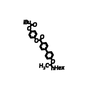 CCCCCCC(C)Oc1ccc(-c2ccc(C(=O)Oc3ccc(OC(=O)C(C)CC)cc3)cc2)cc1